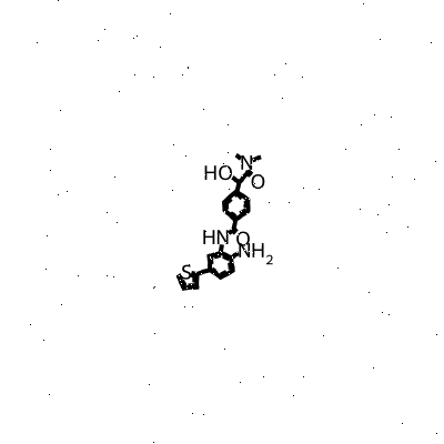 CN(C)C(=O)C(O)c1ccc(C(=O)Nc2cc(-c3cccs3)ccc2N)cc1